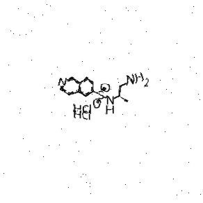 C[C@H](CN)NS(=O)(=O)c1ccc2cnccc2c1.Cl.Cl